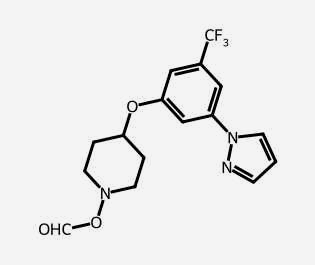 O=CON1CCC(Oc2cc(-n3cccn3)cc(C(F)(F)F)c2)CC1